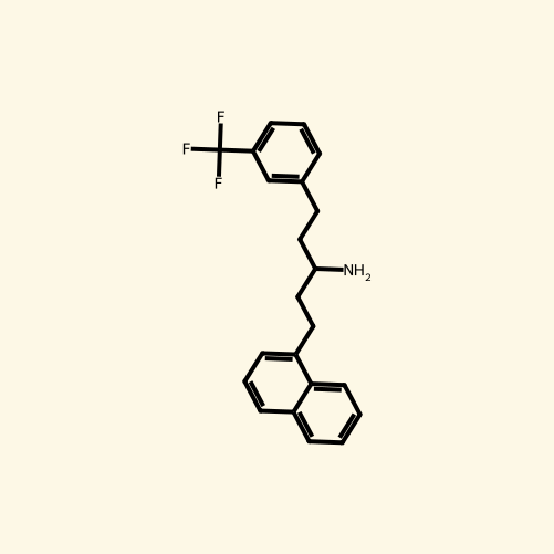 NC(CCc1cccc(C(F)(F)F)c1)CCc1cccc2ccccc12